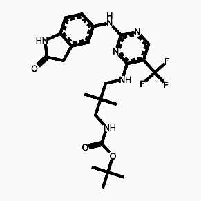 CC(C)(CNC(=O)OC(C)(C)C)CNc1nc(Nc2ccc3c(c2)CC(=O)N3)ncc1C(F)(F)F